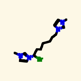 Cn1cc[n+](CCCCCCC(Br)[n+]2ccn(C)c2)c1